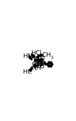 C#CCNC(=O)Cn1c(=O)n(CCc2ccccc2)c(=O)c2c1nc(N1CCNCC1)n2CC#CC.Cl